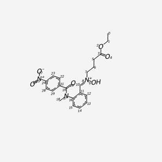 CCOC(=O)CCC[N+](O)=Cc1ccccc1N(C)C(=O)c1ccc([N+](=O)[O-])cc1